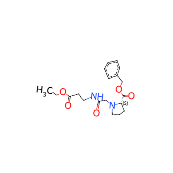 CCOC(=O)CCNC(=O)CN1CCC[C@H]1C(=O)OCc1ccccc1